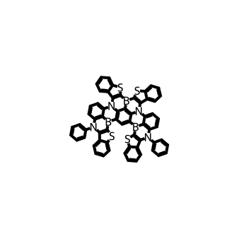 c1ccc(N2c3cccc4c3B(c3cc5c6c7c3N4c3c(sc4ccccc34)B7c3sc4ccccc4c3N6c3cccc4c3B5c3sc5ccccc5c3N4c3ccccc3)c3sc4ccccc4c32)cc1